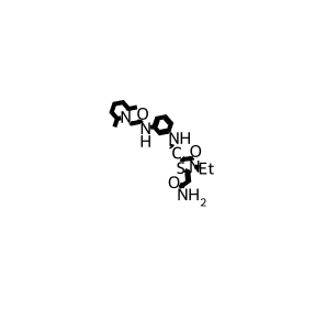 CCn1c(=O)c(=C=CNc2cccc(NC(=O)CN3C(C)CCCC3C)c2)s/c1=C\C(N)=O